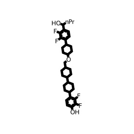 CCCC(O)c1ccc(C2CCC(OCC3CCC(C4CCC(c5ccc(O)c(F)c5F)CC4)CC3)CC2)c(F)c1F